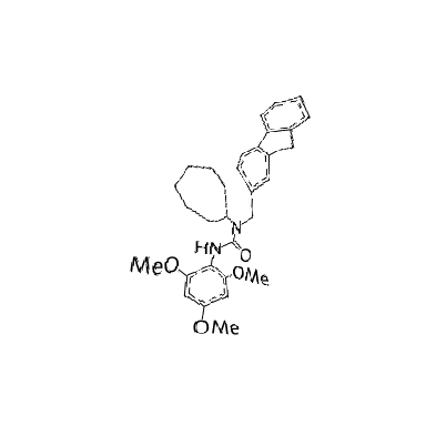 COc1cc(OC)c(NC(=O)N(Cc2ccc3c(c2)Cc2ccccc2-3)C2CCCCCC2)c(OC)c1